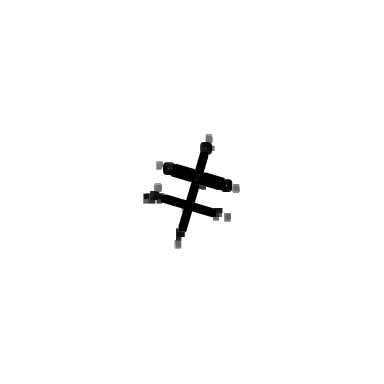 CCCC(F)(F)S([O])(=O)=O